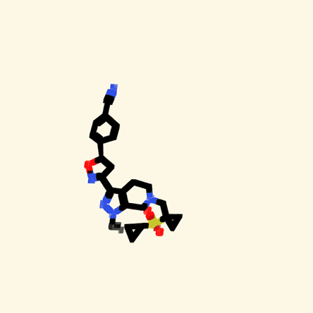 Cn1nc(C2=NO[C@@H](c3ccc(C#N)cc3)C2)c2c1CN(CC1(S(=O)(=O)C3CC3)CC1)CC2